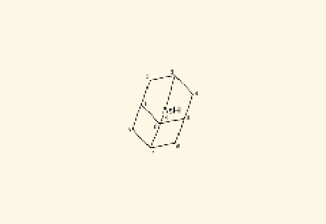 C1C2CC3CC1CC(C2)[AsH]3